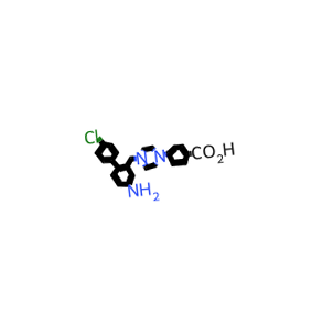 Nc1ccc(-c2ccc(Cl)cc2)c(CN2CCN(c3ccc(C(=O)O)cc3)CC2)c1